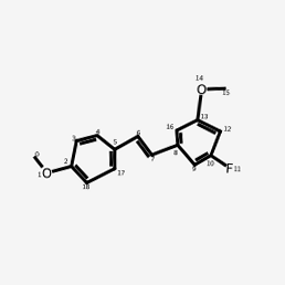 COc1ccc(C=Cc2cc(F)cc(OC)c2)cc1